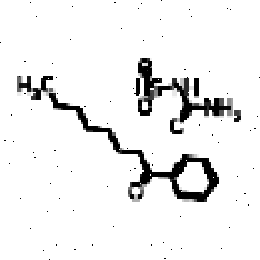 CCCCCCCC(=O)c1ccccc1.NC(=O)N[SH](=O)=O